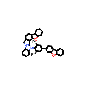 CC(C)c1cc(-c2ccc3c(c2)oc2ccccc23)cc(C(C)C)c1-n1c2[n+](c3ccccc31)Cc1ccc3c4c(oc3c1-2)C=CCC4